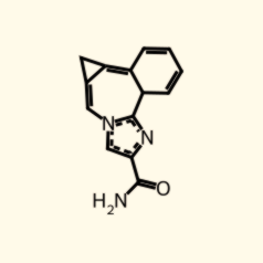 NC(=O)c1cn2c(n1)C1C=CC=CC1=C1CC1=C2